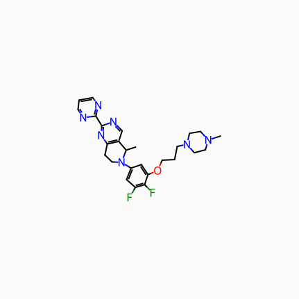 CC1c2cnc(-c3ncccn3)nc2CCN1c1cc(F)c(F)c(OCCCN2CCN(C)CC2)c1